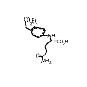 CCOC(=O)Cc1ccc(N[C@@H](CCC(N)=O)C(=O)O)cc1